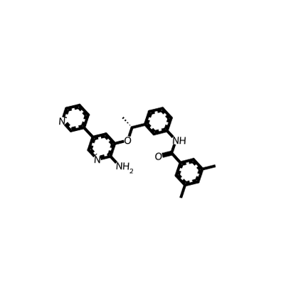 Cc1cc(C)cc(C(=O)Nc2cccc([C@@H](C)Oc3cc(-c4cccnc4)cnc3N)c2)c1